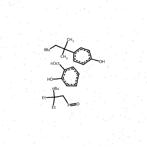 CC(C)(C)CC(C)(C)c1ccc(O)cc1.CCCCC(CC)(CC)CP=O.CCCCCCCCc1ccccc1O